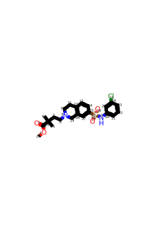 COC(=O)C(C)(C)CCN1CCc2ccc(S(=O)(=O)Nc3cccc(Cl)c3)cc2C1